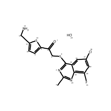 Cc1nc(SCC(=O)c2ccc(CN)s2)c2cc(Cl)cc(F)c2n1.Cl